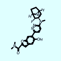 CN(C)C(=O)c1cc2cc(O)c(-c3ccc(N(C)[C@@H]4C[C@H]5CC[C@H](N5)[C@@H]4F)nn3)cc2o1